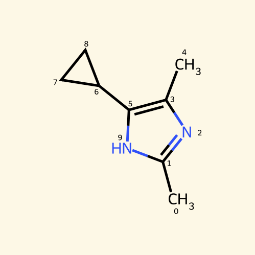 Cc1nc(C)c(C2CC2)[nH]1